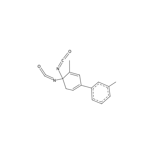 CC1=CC(c2cccc(C)c2)=CCC1(N=C=O)N=C=O